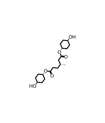 C[C@H](CCC(=O)O[C@H]1CC[C@H](O)CC1)CC(=O)O[C@H]1CC[C@H](O)CC1